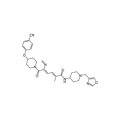 C=N/C(=C\C=C(/C)C(=O)NC1CCN(Cc2cocn2)CC1)C(=O)N1CCC(Oc2ccc(C#N)cc2)CC1